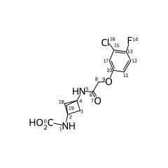 O=C(O)NC12CC(NC(=O)COc3ccc(F)c(Cl)c3)(C1)C2